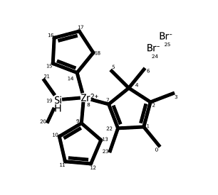 CC1=C(C)C(C)(C)[C]([Zr+2]([C]2=CC=CC2)([C]2=CC=CC2)[SiH](C)C)=C1C.[Br-].[Br-]